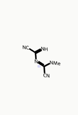 CN/C(C#N)=N\C(=N)C#N